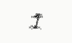 C[Si](C)(CCCSCCCCO[C@@H]1OC(CO)[C@@H](O)[C@H](O)C1O)O[SiH3]